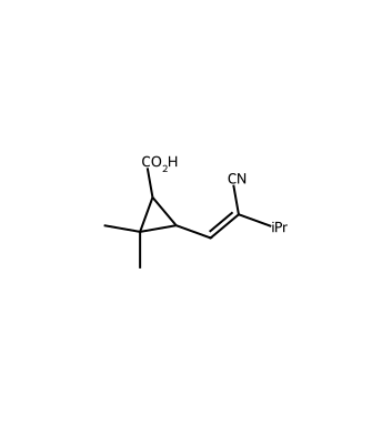 CC(C)/C(C#N)=C/C1C(C(=O)O)C1(C)C